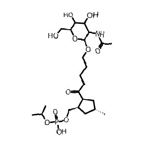 CC(=O)NC1C(OCCCCC(=O)C2C[C@H](C)C[C@H]2COP(=O)(O)OC(C)C)OC(CO)C(O)C1O